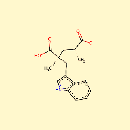 C[C@H](C[C@@](C)(Cc1c[nH]c2ccccc12)C(=O)O)C(=O)O